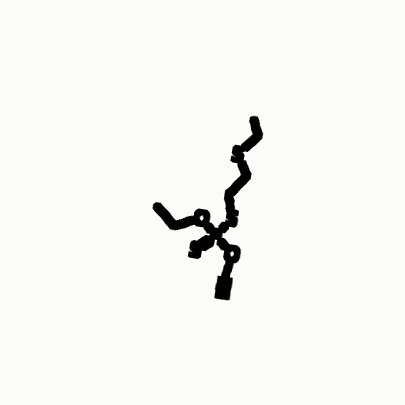 C#COP(=S)(OCC)SCCSCC